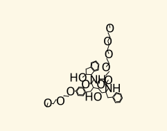 COCCOCCOCCOCCOC(=O)NC(Cc1ccccc1)C(O)CC(Cc1ccc(OCCOCCOC)cc1)C(=O)N[C@H]1c2ccccc2C[C@@H]1O